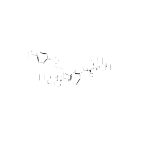 CNC(CCOc1ccc(F)cc1)c1cccc(OC(=S)N(C)C)c1.Cl